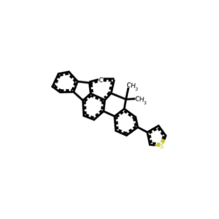 CC1(C)c2cc(-c3ccsc3)ccc2-c2ccc3c4c(ccc1c24)-c1ccccc1-3